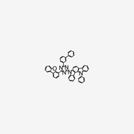 c1ccc(-c2cccc(-c3nc(-c4cccc5c4oc4ccccc45)nc(-n4c5ccccc5c5c4ccc4c6ccccc6n(-c6ccccc6)c45)n3)c2)cc1